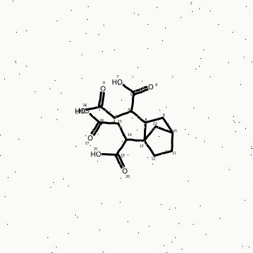 O=C(O)CC(C(=O)O)C1CC2CCC1(C(CC(=O)O)C(=O)O)C2